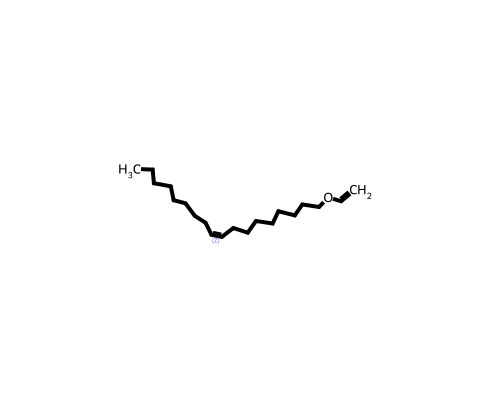 C=COCCCCCCCC/C=C\CCCCCCCC